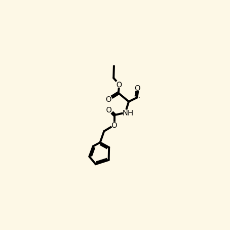 CCOC(=O)C([C]=O)NC(=O)OCc1ccccc1